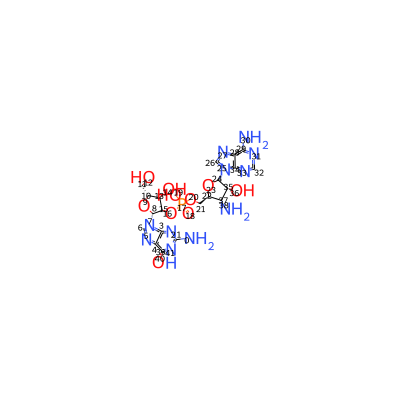 Nc1nc2c(ncn2[C@@H]2O[C@H](CO)[C@@H](O)[C@H]2OP(=O)(O)OC[C@H]2O[C@@H](n3cnc4c(N)ncnc43)[C@H](O)[C@@H]2N)c(=O)[nH]1